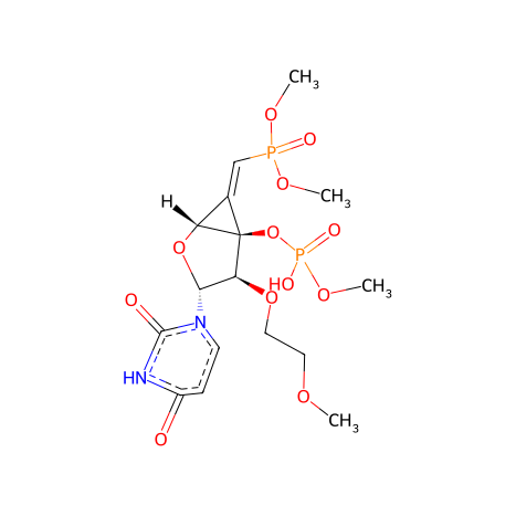 COCCO[C@H]1[C@H](n2ccc(=O)[nH]c2=O)O[C@@H]2/C(=C/P(=O)(OC)OC)[C@@]21OP(=O)(O)OC